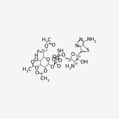 CC(=O)OC[C@H](F)C1OC(OP(=O)(O)OP(=O)(S)OC[C@H]2O[C@@H](c3csc4c(N)ncnc34)[C@H](O)[C@@H]2N)C(OC(C)=O)C(OC(C)=O)C1O